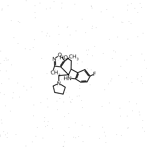 Cc1noc(C)c1C1(CN2CCCC2)Nc2ccc(F)cc2C1CO